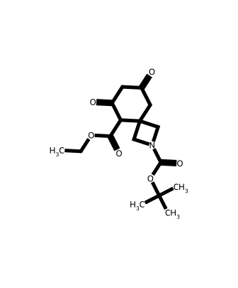 CCOC(=O)C1C(=O)CC(=O)CC12CN(C(=O)OC(C)(C)C)C2